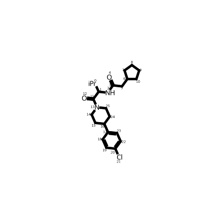 CC(C)C(NC(=O)CC1CCCC1)C(=O)N1CCC(c2ccc(Cl)cc2)CC1